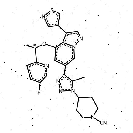 Cc1c(-c2cc(O[C@H](C)c3ccc(F)cn3)c3c(-c4cnsc4)cnn3c2)nnn1C1CCN(C#N)CC1